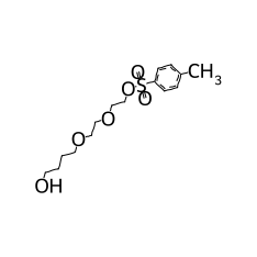 Cc1ccc(S(=O)(=O)OCCOCCOCCCCO)cc1